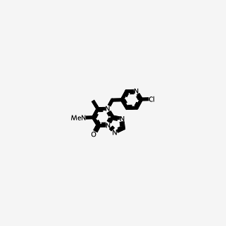 CNc1c(C)n(Cc2ccc(Cl)nc2)c2ncnn2c1=O